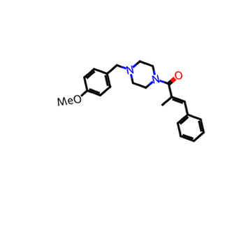 COc1ccc(CN2CCN(C(=O)/C(C)=C/c3ccccc3)CC2)cc1